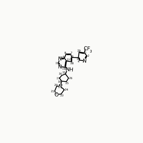 FC(F)(F)c1cncc(-c2ccc3ncnc(NC4CCC(N5CCOCC5)CC4)c3c2)c1